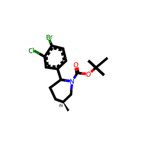 C[C@H]1CCC(c2ccc(Br)c(Cl)c2)N(C(=O)OC(C)(C)C)C1